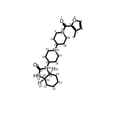 Cc1ccoc1C(=O)N1CCC(N2CCC(N3C(=O)N[C@H]4CCCC[C@@H]43)CC2)CC1